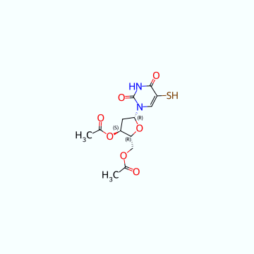 CC(=O)OC[C@H]1O[C@@H](n2cc(S)c(=O)[nH]c2=O)C[C@@H]1OC(C)=O